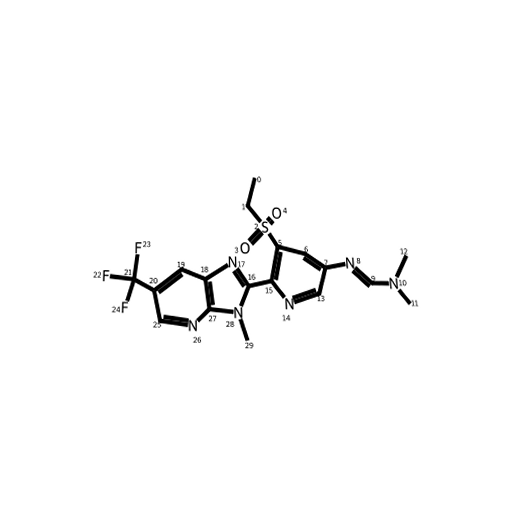 CCS(=O)(=O)c1cc(N=CN(C)C)cnc1-c1nc2cc(C(F)(F)F)cnc2n1C